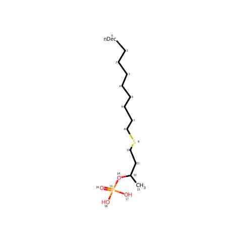 CCCCCCCCCCCCCCCCCCSCCC(C)OP(=O)(O)O